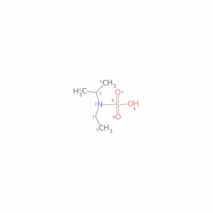 CCN(C(C)C)S(=O)(=O)O